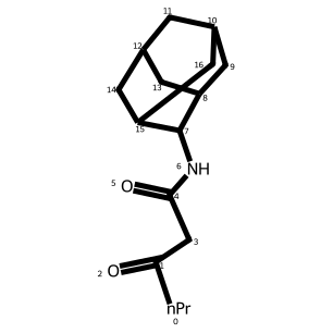 CCCC(=O)CC(=O)NC1C2CC3CC(C2)CC1C3